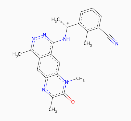 Cc1c(C#N)cccc1[C@@H](C)Nc1nnc(C)c2cc3nc(C)c(=O)n(C)c3cc12